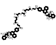 CCC(COCC(CC)OC(=O)CCC(=O)OCCN(CC)c1ccc(-c2cc3c(c4ccccc24)OC2(C=N3)N(C)c3ccccc3C2(C)C)cc1)OC(=O)CCC(=O)OCCN(CC)c1ccc(-c2cc3c(c4ccccc24)OC2(C=N3)N(C)c3ccccc3C2(C)C)cc1